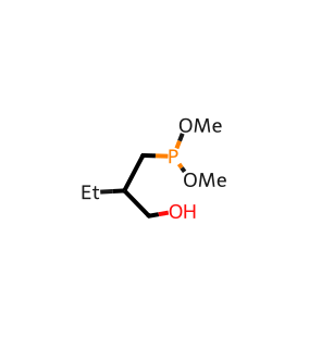 CCC(CO)CP(OC)OC